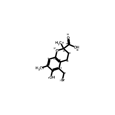 Cc1cc2c(c(CBr)c1O)CCC(C)(C(=O)O)O2